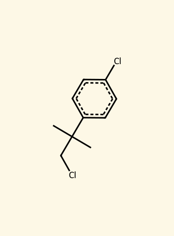 CC(C)(CCl)c1ccc(Cl)cc1